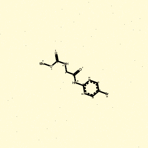 CC(C)(C)OC(=O)NCC(=O)Nc1ncc(Br)cn1